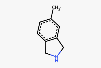 [CH2]c1ccc2c(c1)CNC2